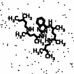 CCC(C)CCNC(C)CCC(C)Nc1nc(NC(C)CCC(C)NCCC(C)CC)c2ccccc2n1